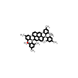 Cc1cc(C)c(B(c2c(C)cc(C)cc2C)c2cc3ccc(B(c4c(C)cc(C)cc4C)c4c(C)cc(C)cc4C)c4ccc5cccc2c5c34)c(C)c1